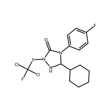 O=C1N(SC(F)(Cl)Cl)NC(C2CCCCC2)N1c1ccc(F)cc1